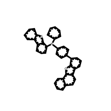 c1ccc(N(c2ccc(-c3cccc4c3oc3c5ccccc5ccc43)cc2)c2cccc3c2sc2ccccc23)cc1